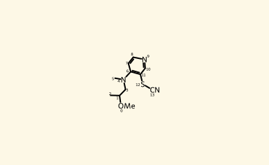 COC(C)CN(C)c1ccncc1SC#N